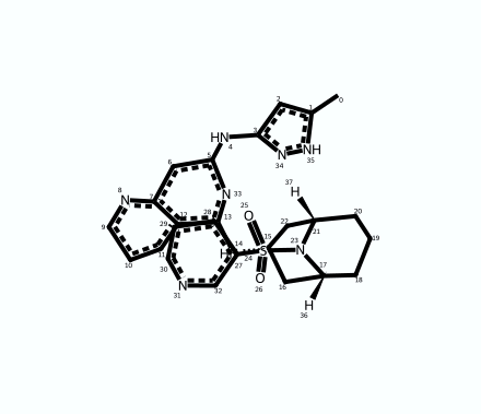 Cc1cc(Nc2cc3ncccc3c(N[C@H]3C[C@H]4CCC[C@@H](C3)N4S(=O)(=O)c3cccnc3)n2)n[nH]1